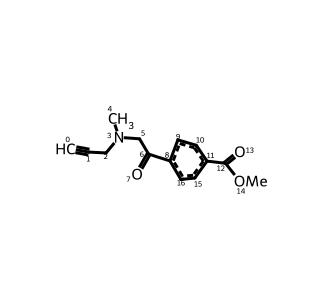 C#CCN(C)CC(=O)c1ccc(C(=O)OC)cc1